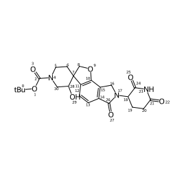 CC(C)(C)OC(=O)N1CCC2(COc3c2ccc2c3CN(C3CCC(=O)NC3=O)C2=O)C(O)C1